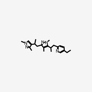 CCc1ccc(CC(C)c2c(C)c(CC(C)c3cn(C)nc3C)nn2C)nc1